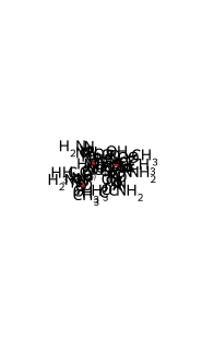 COCCOC1C[C@@H](COP(=O)(O)O[C@@H]2C(OCCOC)[C@H](n3cnc4c(N)ncnc43)O[C@@H]2COP(=O)(O)O[C@@H]2C(OCCOC)[C@H](n3cc(C)c(N)nc3=O)O[C@@H]2COP(=O)(S)O[C@@H]2C(OCCOC)[C@H](n3cc(C)c(N)nc3=O)O[C@@H]2CO)O[C@H]1n1cc(C)c(N)nc1=O